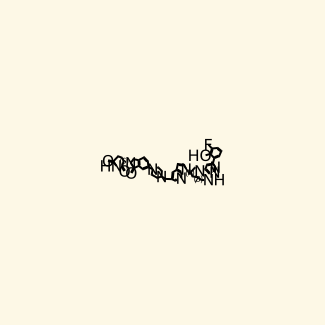 C[C@]12CNc3nnc(-c4cccc(F)c4O)cc3N1C[C@H](n1ccc3cc(CN4CCN(c5ccc6c(c5)C(=O)N([C@H]5CCC(=O)NC5=O)C6)CC4)cnc31)C2